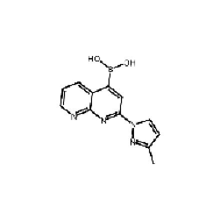 Cc1ccn(-c2cc(B(O)O)c3cccnc3n2)n1